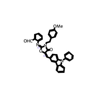 COc1ccc(CCN2C(=O)/C(=C\c3ccc4c(c3)c3ccccc3n4-c3ccccc3)O/C2=N/c2ccccc2C=O)cc1